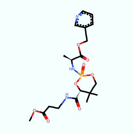 COC(=O)CCNC(=O)[C@@H]1OP(=O)(N[C@@H](C)C(=O)OCc2cccnc2)OCC1(C)C